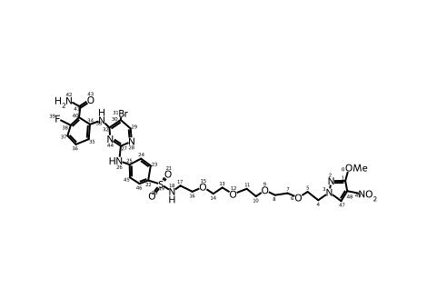 COc1nn(CCOCCOCCOCCOCCNS(=O)(=O)c2ccc(Nc3ncc(Br)c(Nc4cccc(F)c4C(N)=O)n3)cc2)cc1[N+](=O)[O-]